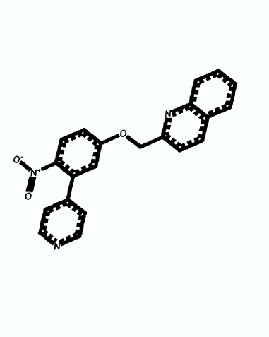 O=[N+]([O-])c1ccc(OCc2ccc3ccccc3n2)cc1-c1ccncc1